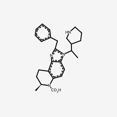 CC(C1CCCNC1)n1c(Cc2ccccc2)nc2c3c(ccc21)N(C(=O)O)[C@@H](C)CC3